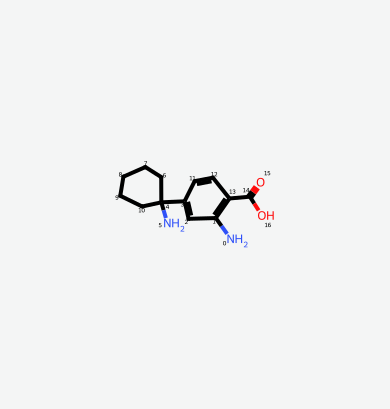 Nc1cc(C2(N)CCCCC2)ccc1C(=O)O